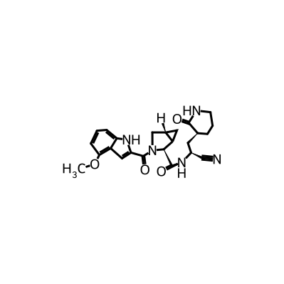 COc1cccc2[nH]c(C(=O)N3C[C@@H]4CC4[C@H]3C(=O)N[C@H](C#N)C[C@@H]3CCCNC3=O)cc12